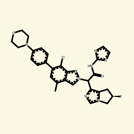 Cc1cc(-c2ccc(N3CCOCC3)cc2)c(Cl)c2nn(C(C(=O)Nc3nccs3)c3ncn4c3C[C@@H](F)C4)cc12